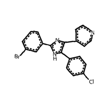 Clc1ccc(-c2[nH]c(-c3cccc(Br)c3)nc2-c2ccncc2)cc1